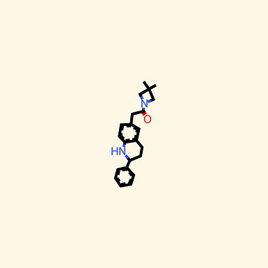 CC1(C)CN(C(=O)Cc2ccc3c(c2)CCC(c2ccccc2)N3)C1